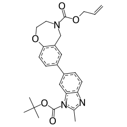 C=CCOC(=O)N1CCOc2ccc(-c3ccc4nc(C)n(C(=O)OC(C)(C)C)c4c3)cc2C1